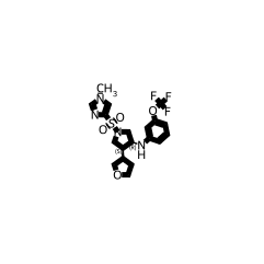 Cn1cnc(S(=O)(=O)N2C[C@H](Nc3cccc(OC(F)(F)F)c3)[C@@H](C3CCOC3)C2)c1